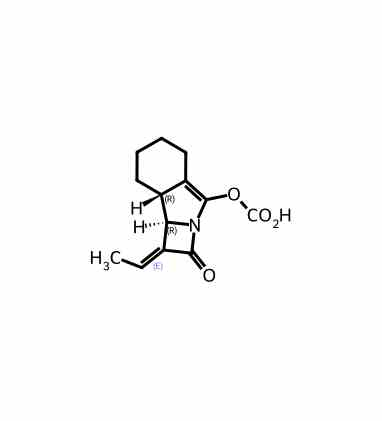 C/C=C1/C(=O)N2C(OC(=O)O)=C3CCCC[C@H]3[C@H]12